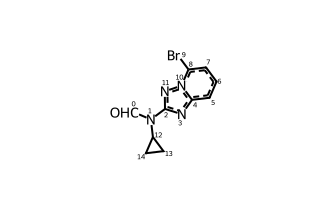 O=CN(c1nc2cccc(Br)n2n1)C1CC1